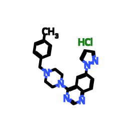 Cc1ccc(CN2CCN(c3ncnc4ccc(-n5cccn5)cc34)CC2)cc1.Cl